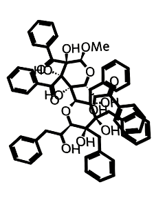 CO[C@H]1O[C@H](C(O)C(=O)c2ccccc2)[C@@](O)([C@@H]2O[C@H](C(O)Cc3ccccc3)[C@@](O)(Cc3ccccc3)[C@@](O)(Cc3ccccc3)[C@]2(O)Cc2ccccc2)[C@@](O)(C(=O)c2ccccc2)[C@]1(O)C(=O)c1ccccc1